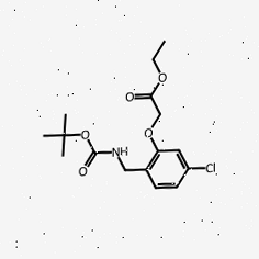 CCOC(=O)COc1cc(Cl)ccc1CNC(=O)OC(C)(C)C